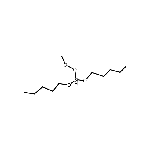 CCCCCO[SiH](OCCCCC)OOC